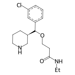 CCNC(=O)CCOC(c1cccc(Cl)c1)[C@@H]1CCCNC1